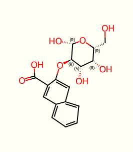 O=C(O)c1cc2ccccc2cc1O[C@@H]1[C@@H](O)[C@@H](O)[C@@H](CO)O[C@H]1O